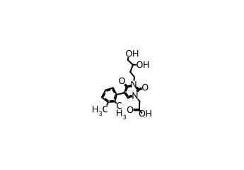 Cc1cccc(-c2cn(CC(=O)O)c(=O)n(CCC(O)CO)c2=O)c1C